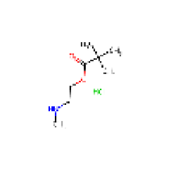 CNCCOC(=O)C(C)(C)C.Cl